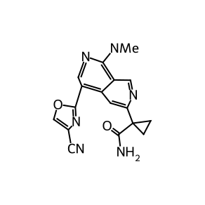 CNc1ncc(-c2nc(C#N)co2)c2cc(C3(C(N)=O)CC3)ncc12